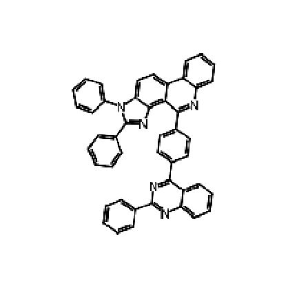 c1ccc(-c2nc(-c3ccc(-c4nc5ccccc5c5ccc6c(nc(-c7ccccc7)n6-c6ccccc6)c45)cc3)c3ccccc3n2)cc1